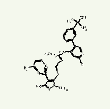 Cc1nn(C)c(OCC[C@H](C)Nc2cc(Cl)ncc2-c2cc(C(C)(C)O)ccn2)c1-c1nccc(N)n1